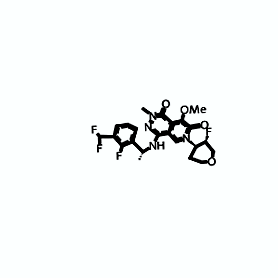 COc1c(=O)n([C@@H]2CCOC[C@@H]2F)cc2c(N[C@H](C)c3cccc(C(F)F)c3F)nn(C)c(=O)c12